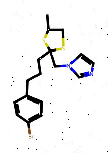 CC1CSC(CCCc2ccc(Br)cc2)(Cn2ccnc2)S1